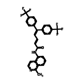 Cc1nccc2c(NC(=O)/C=C/C=C(c3ccc(C(F)(F)F)cc3)c3ccc(C(F)(F)F)cc3)cccc12